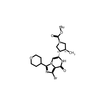 C[C@@H]1CN(C(=O)OC(C)(C)C)C[C@H]1c1cn2c(C3CCOCC3)nc(Br)c2c(=O)[nH]1